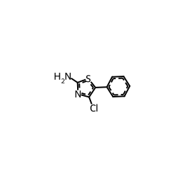 Nc1nc(Cl)c(-c2ccccc2)s1